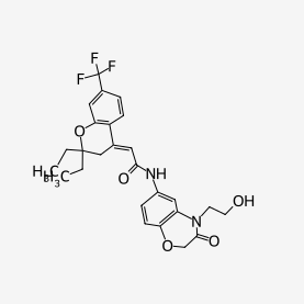 CCC1(CC)C/C(=C\C(=O)Nc2ccc3c(c2)N(CCO)C(=O)CO3)c2ccc(C(F)(F)F)cc2O1